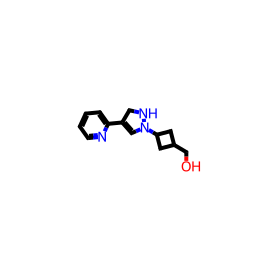 OCC1CC(N2C=C(c3ccccn3)CN2)C1